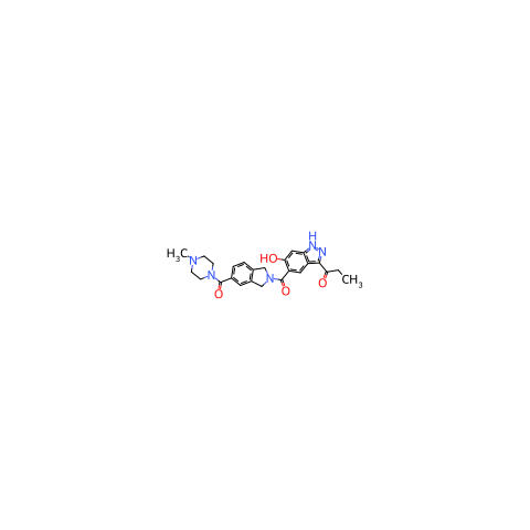 CCC(=O)c1n[nH]c2cc(O)c(C(=O)N3Cc4ccc(C(=O)N5CCN(C)CC5)cc4C3)cc12